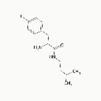 CC(C)CCNC(=O)C(N)Cc1ccc(F)cc1